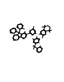 Cc1cc(-c2cccc3c2Nc2ccccc2C3(c2ccccc2)c2ccccc2)c2c(c1)N(c1cc3c(cc1C)C(C)(C)CCC3(C)C)c1cc3c(cc1B2)C(C)(C)c1ccccc1S3